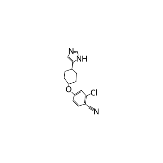 N#Cc1ccc(O[C@H]2CC[C@H](c3cnc[nH]3)CC2)cc1Cl